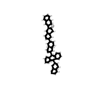 c1ccc2cc(-c3c4ccccc4c(-c4ccc5cc(-c6ccc7cc8c(cc7c6)oc6cc7ccccc7cc68)ccc5c4)c4ccccc34)ccc2c1